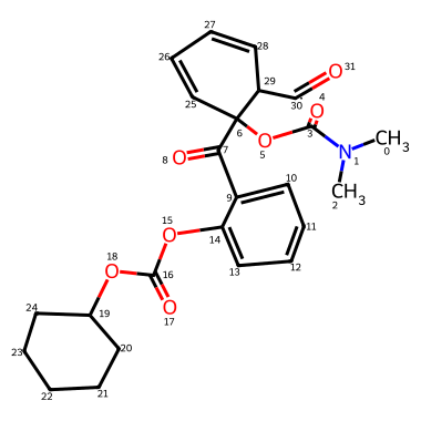 CN(C)C(=O)OC1(C(=O)c2ccccc2OC(=O)OC2CCCCC2)C=CC=CC1[C]=O